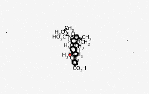 C=C(C)[C@@H]1CC[C@]2(C(=O)NC(CN(C)C)C(=O)O)CC[C@]3(C)[C@H](CC[C@@H]4[C@@]5(C)CC=C(c6ccc(C(=O)O)cc6)C(C)(C)[C@@H]5CC[C@]43C)[C@@H]12